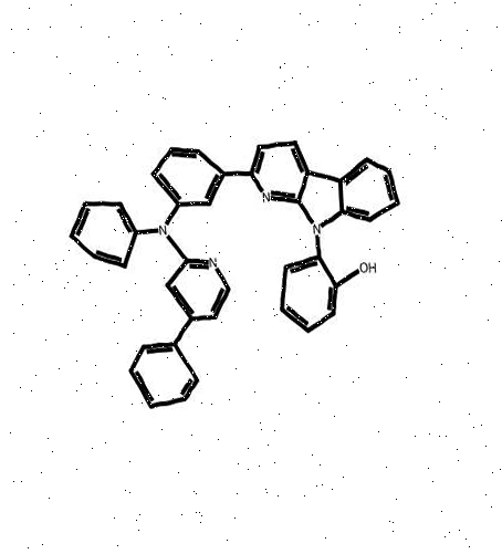 Oc1ccccc1-n1c2ccccc2c2ccc(-c3cccc(N(c4ccccc4)c4cc(-c5ccccc5)ccn4)c3)nc21